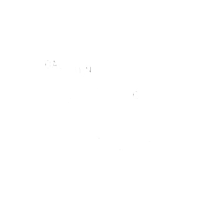 CC(=O)OCC1C2CCCCCCC21N